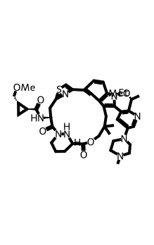 CCn1c(-c2cc(N3CCN(C)CC3)cnc2[C@H](C)OC)c2c3cc(ccc31)-c1csc(n1)C[C@H](NC(=O)[C@H]1C[C@@H]1COC)C(=O)N1CCC[C@H](N1)C(=O)OCC(C)(C)C2